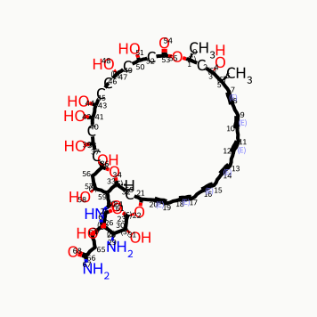 C[C@H]1C[C@H](O)[C@@H](C)/C=C/C=C/C=C/C=C/C=C/C=C/C=C/C(O[C@@H]2OC[C@@H](O)[C@H](N)[C@@H]2O)C[C@@H]2OC(O)(CC(O)CC(O)C(O)CC[C@@H](O)CC(O)CC(=O)O1)C[C@H](O)C2C(=O)NCCCC(N)=O